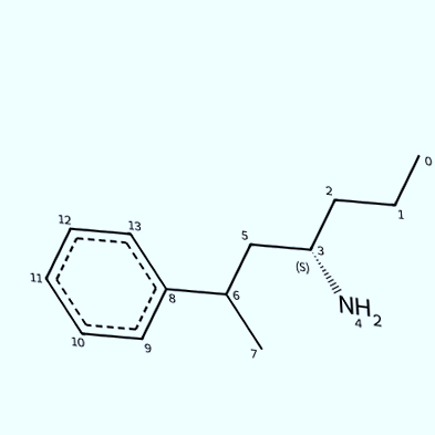 CCC[C@H](N)CC(C)c1ccccc1